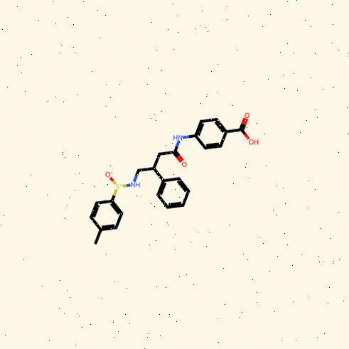 Cc1ccc([S+]([O-])NCC(CC(=O)Nc2ccc(C(=O)O)cc2)c2ccccc2)cc1